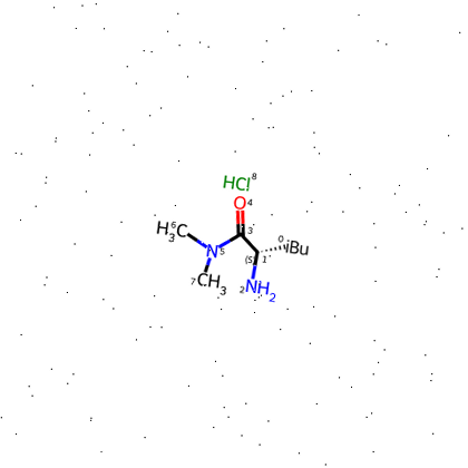 CCC(C)[C@H](N)C(=O)N(C)C.Cl